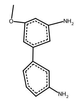 COc1cc(N)cc(-c2cccc(N)c2)c1